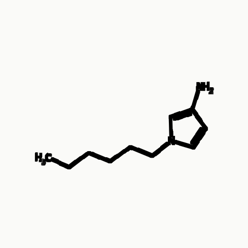 CCCCCCn1ccc(N)c1